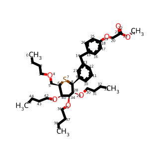 CCCCOC[C@H]1S[C@@H](c2cccc(Cc3ccc(OCC(=O)OC)cc3)c2)[C@H](OCCCC)[C@@H](OCCCC)[C@@H]1OCCCC